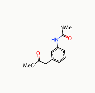 CNC(=O)Nc1cccc(CC(=O)OC)c1